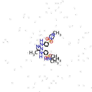 Cc1cnc(Nc2cccc(S(=O)(=O)N3CCN(C)CC3)c2)nc1Nc1cccc(S(=O)(=O)NC(C)(C)C)c1